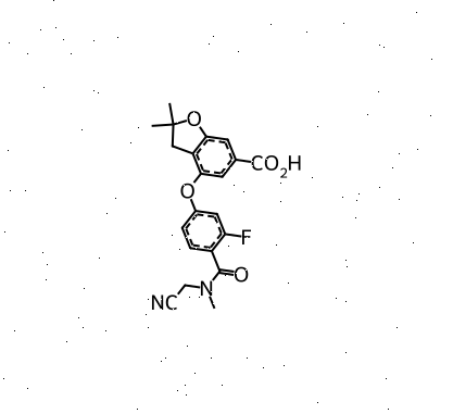 CN(CC#N)C(=O)c1ccc(Oc2cc(C(=O)O)cc3c2CC(C)(C)O3)cc1F